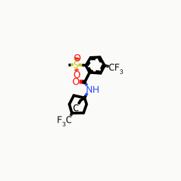 CS(=O)(=O)c1ccc(C(F)(F)F)cc1C(=O)NC12CCC(C(F)(F)F)(CC1)CC2